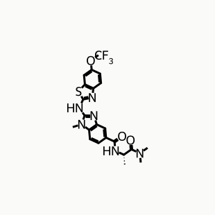 C[C@H](NC(=O)c1ccc2c(c1)nc(Nc1nc3ccc(OC(F)(F)F)cc3s1)n2C)C(=O)N(C)C